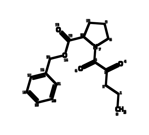 CCCC(=O)C(=O)N1CCCC1C(=O)OCc1ccccc1